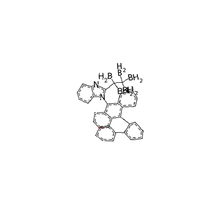 BC(B)(B)C(B)(B)c1nc2ccccc2n1-c1c2ccccc2c(-c2ccccc2-c2ccccc2)c2ccccc12